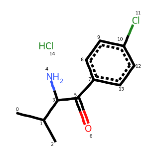 CC(C)C(N)C(=O)c1ccc(Cl)cc1.Cl